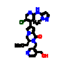 COC[C@H]1Cn2cc(-c3cc(Nc4ccnn4C)ncc3Cl)cc2C(=O)N1Cc1cnccc1CO